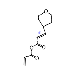 C=CC(=O)OC(=O)/C=C/C1CCOCC1